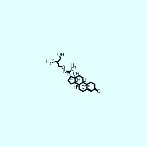 C/C(=N\OCC(C)CO)[C@H]1CC[C@H]2[C@@H]3CCC4=CC(=O)CC[C@]4(C)[C@H]3CC[C@]12C